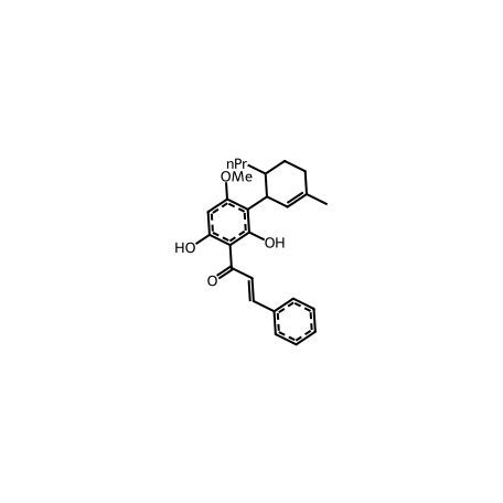 CCCC1CCC(C)=CC1c1c(OC)cc(O)c(C(=O)C=Cc2ccccc2)c1O